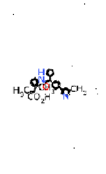 Cc1cncc(-c2ccc([C@@H](C(=O)Nc3cccc(C[C@H](C)C(=O)O)c3C)C3CCCC3)cc2)c1